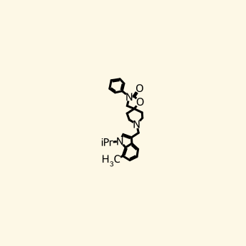 Cc1cccc2c(CN3CCC4(CC3)CN(c3ccccc3)C(=O)O4)cn(C(C)C)c12